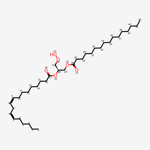 CCCCC/C=C\C/C=C\CCCCCCCC(=O)O[C@@H](COO)COC(=O)CCCCCCCCCCCCCCC